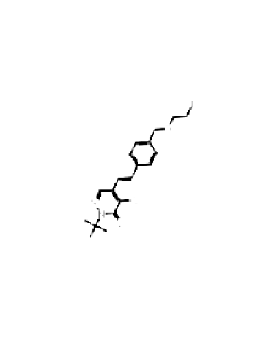 CC(C)(C)n1ncc(/C=C/c2ccc(COCCI)cc2)c(Cl)c1=O